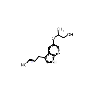 CC(CO)Oc1cnc2[nH]cc(C/C=C/C#N)c2c1